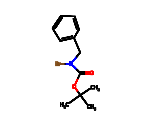 CC(C)(C)OC(=O)N(Br)Cc1ccccc1